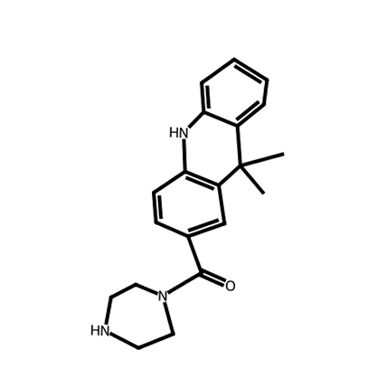 CC1(C)c2ccccc2Nc2ccc(C(=O)N3CCNCC3)cc21